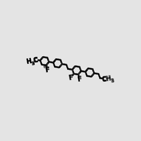 CCCC1CCC(C2CCC(CCC3CCC(C4CCC(C)C[C@@H]4F)CC3)C(F)C2F)CC1